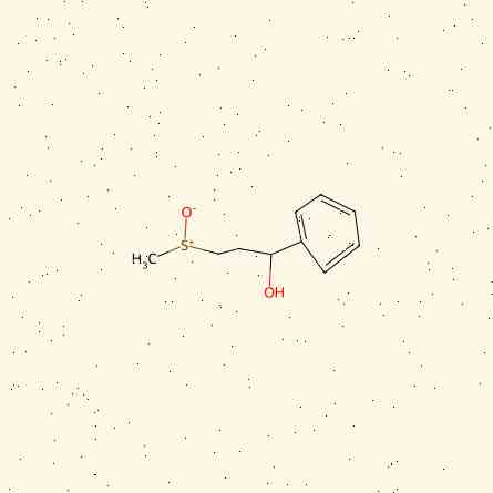 C[S+]([O-])CCC(O)c1ccccc1